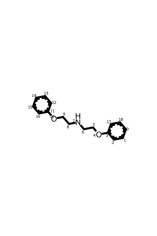 c1ccc(OCCNCCOc2ccccc2)cc1